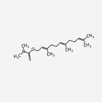 CC(C)=CCC/C(C)=C/CC/C(C)=C/COC(=S)N(C)C